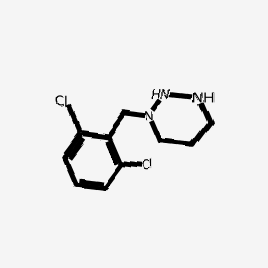 Clc1cccc(Cl)c1CN1CCCNN1